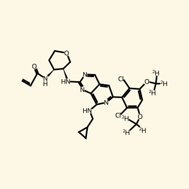 [2H]C([2H])([2H])Oc1cc(OC([2H])([2H])[2H])c(Cl)c(-c2cc3cnc(N[C@@H]4COCC[C@@H]4NC(=O)C=C)nc3c(NCC3CC3)n2)c1Cl